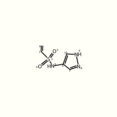 C=CS(=O)(=O)Nc1cn[nH]c1